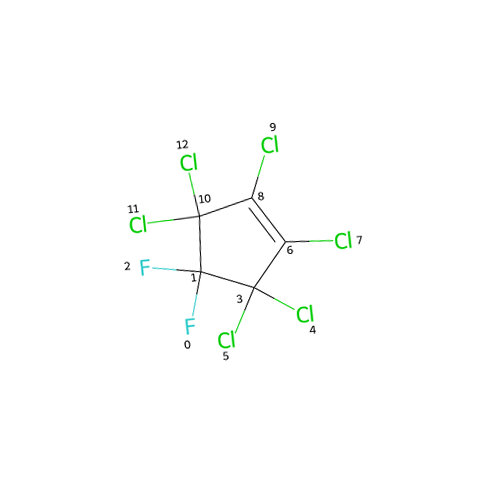 FC1(F)C(Cl)(Cl)C(Cl)=C(Cl)C1(Cl)Cl